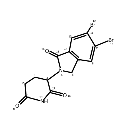 O=C1CCC(N2Cc3cc(Br)c(Br)cc3C2=O)C(=O)N1